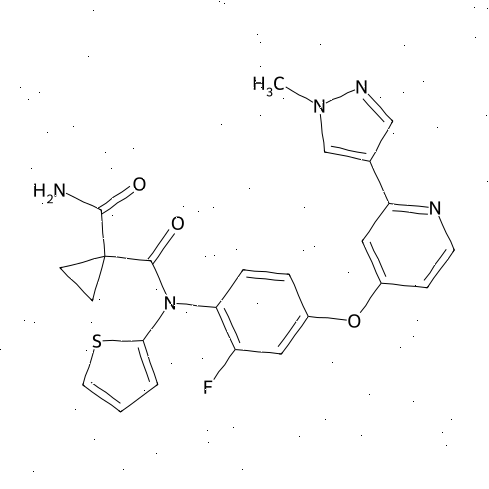 Cn1cc(-c2cc(Oc3ccc(N(C(=O)C4(C(N)=O)CC4)c4cccs4)c(F)c3)ccn2)cn1